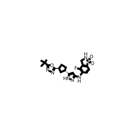 CC(C)(C)c1nnc([C@H]2CC[C@H](c3cc(Nc4ccc5c(c4F)CNS5(=O)=O)n[nH]3)C2)o1